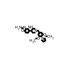 CCOc1cc(CN2CCC(c3ccc4oc(N)nc4c3N)CC2)cc(OCC)c1-n1cccc1